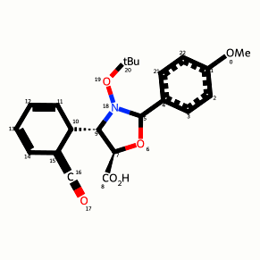 COc1ccc(C2O[C@@H](C(=O)O)[C@H](C3C=CC=CC3=C=O)N2OC(C)(C)C)cc1